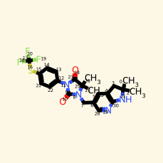 CC1(C)Cc2cc(CN3C(=O)N(c4ccc(SC(F)(F)F)cc4)C(=O)C3(C)C)cnc2N1